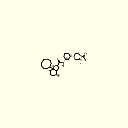 CC(=O)N1[C@H](C)CN([C@H]2CCC[C@@H](NC(=O)C3CC4C(F)CCC(C)C4(C4CCCCCCCC4)N3)C2)C[C@@H]1C